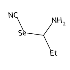 CCC(N)[Se]C#N